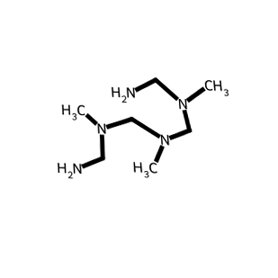 CN(CN)CN(C)CN(C)CN